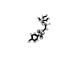 CC[Si](CC)(CC)O[C@H](C)CCOS(=O)(=O)c1ccc(C)cc1